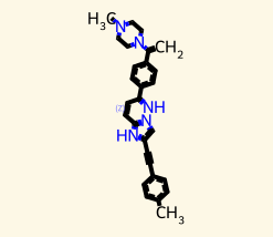 C=C(c1ccc(C(=N)/C=C\c2ncc(C#Cc3ccc(C)cc3)[nH]2)cc1)N1CCN(C)CC1